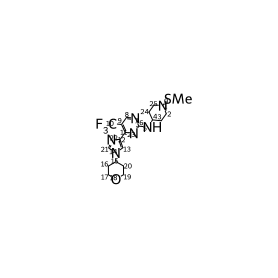 CSN1CCC(Nc2ncc(C(F)(F)F)c(-c3cn(C4CCOCC4)cn3)n2)CC1